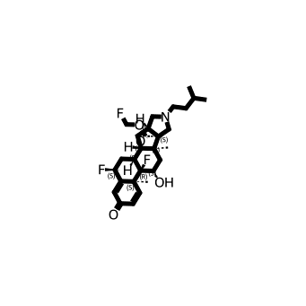 CC(C)CCN1C[C@@H]2C[C@H]3[C@@H]4C[C@H](F)C5=CC(=O)C=C[C@]5(C)[C@@]4(F)[C@@H](O)C[C@]3(C)[C@]2(C(=O)OCF)C1